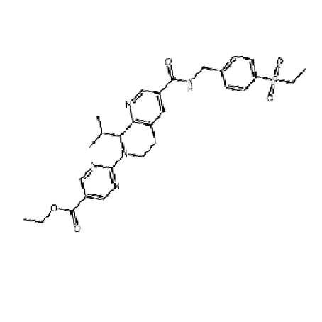 CCOC(=O)c1cnc(N2CCc3cc(C(=O)NCc4ccc(S(=O)(=O)CC)cc4)cnc3C2C(C)C)nc1